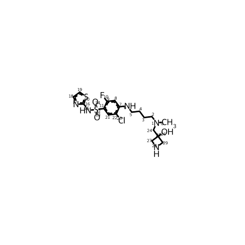 CN(CCCCNc1cc(F)c(S(=O)(=O)Nc2nccs2)cc1Cl)CC1(O)CNC1